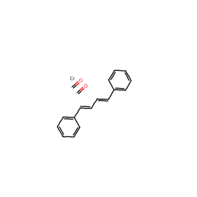 C(C=Cc1ccccc1)=Cc1ccccc1.[C]=O.[C]=O.[Cr]